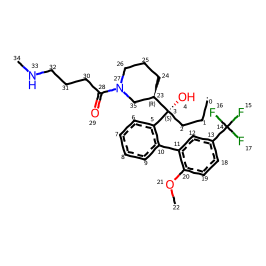 [CH2]CC[C@@](O)(c1ccccc1-c1cc(C(F)(F)F)ccc1OC)[C@@H]1CCCN(C(=O)CCCNC)C1